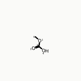 COC(=O)O